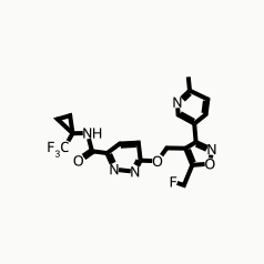 Cc1ccc(-c2noc(CF)c2COc2ccc(C(=O)NC3(C(F)(F)F)CC3)nn2)cn1